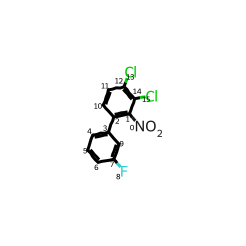 O=[N+]([O-])c1c(-c2cccc(F)c2)ccc(Cl)c1Cl